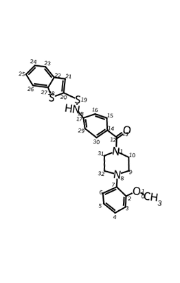 COc1ccccc1N1CCN(C(=O)c2ccc(NSc3cc4ccccc4s3)cc2)CC1